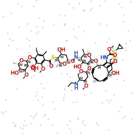 CCN[C@H]1CO[C@@H](O[C@H]2[C@H](O[C@H]3C#C/C=C\C#C[C@]4(O)CC(=O)C(NC(=O)OC)=C3/C4=C\CSSC3CC3)O[C@H](C)[C@@H](NO[C@H]3C[C@H](O)[C@H](SC(=O)c4c(C)c(I)c(O[C@@H]5O[C@@H](C)[C@H](O)[C@@H](OC)[C@H]5O)c(OC)c4OC)[C@@H](C)O3)[C@@H]2O)C[C@@H]1OC